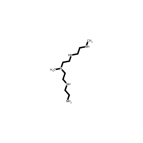 CNCCNCCN(C)CCNCCN